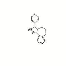 c1ccc2c(c1)CCCC1C2=NNC1c1ccncc1